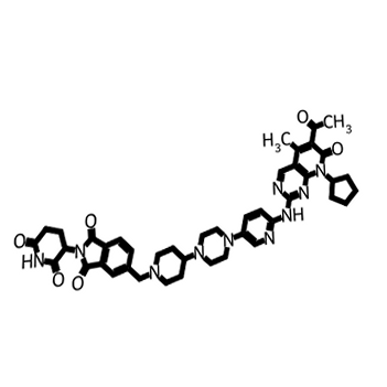 CC(=O)c1c(C)c2cnc(Nc3ccc(N4CCN(C5CCN(Cc6ccc7c(c6)C(=O)N(C6CCC(=O)NC6=O)C7=O)CC5)CC4)cn3)nc2n(C2CCCC2)c1=O